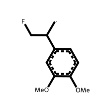 [CH2]C(CF)c1ccc(OC)c(OC)c1